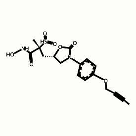 CC#CCOc1ccc(N2C[C@H](C[C@](C)(C(=O)NO)[SH](=O)=O)OC2=O)cc1